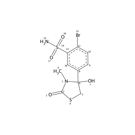 CN1C(=O)SCC1(O)c1ccc(Br)c(S(N)(=O)=O)c1